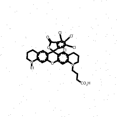 CCN1CCCc2cc3c(cc21)Oc1cc2c(cc1C31OC(=O)c3c(Cl)c(Cl)c(Cl)c(Cl)c31)CCCN2CCCC(=O)O